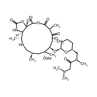 CC[C@H]1OC(=O)C(C)C(=O)[C@H](C)[C@@H](O[C@@H]2O[C@H](CN(C)C(=O)CN(C)C)CC[C@H]2O)[C@](C)(OC)C[C@@H](C)CN[C@H](C)[C@H]2NC(=O)O[C@@]21C